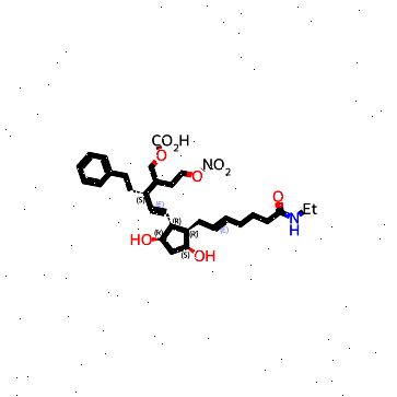 CCNC(=O)CCC/C=C/C[C@@H]1[C@@H](/C=C/[C@H](CCc2ccccc2)C(CCO[N+](=O)[O-])COC(=O)O)[C@H](O)C[C@@H]1O